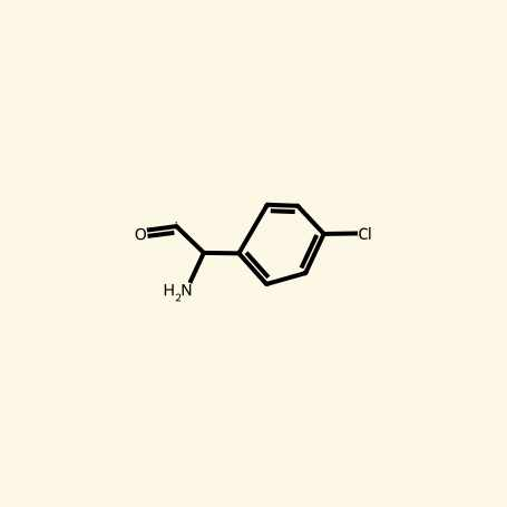 NC([C]=O)c1ccc(Cl)cc1